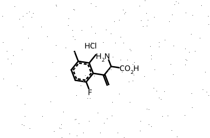 C=C(c1c(F)ccc(C)c1C)C(N)C(=O)O.Cl